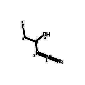 [N-]=[N+]=NC(O)CF